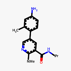 CNc1ncc(-c2ccc(N)cc2C)cc1C(=O)NC(C)C